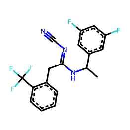 CC(N/C(Cc1ccccc1C(F)(F)F)=N/C#N)c1cc(F)cc(F)c1